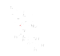 CC(C)[C@H](O)C(=O)N[C@H]1Cc2ccc3c(c2)C2(c4cccc(-c5ccncc5)c4NC2O3)c2oc(nc2C=O)[C@H](C(C)C)NC1=O